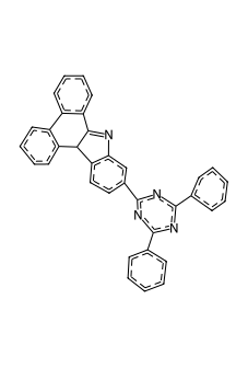 c1ccc(-c2nc(-c3ccccc3)nc(-c3ccc4c(c3)N=C3c5ccccc5-c5ccccc5C34)n2)cc1